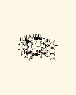 BBB(B)B(B(B)B)c1c(B(B(B)B)B(B)B)c(B(BB)B(B)B)c(B(B)B(B)B)c2c(-c3c(C)c(C)c(C)c4c(-c5c(C)c(C)c(C)c(C)c5C)c5c(C)c(C)c(C)c(C)c5c(C)c34)c(B(B)B)c(BB)c(B)c12